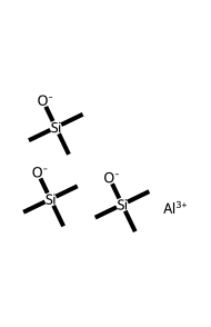 C[Si](C)(C)[O-].C[Si](C)(C)[O-].C[Si](C)(C)[O-].[Al+3]